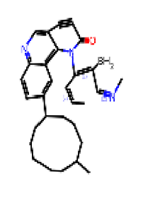 BC(/C=N\C)=C(/C=C\C)n1c(=O)c#cc2cnc3ccc(C4CCCCCC(C)CCC4)cc3c21